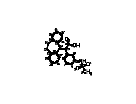 CS(=O)(=O)Nc1cccc(C(C(=O)O)=C2c3ccccc3CCc3ccccc32)c1